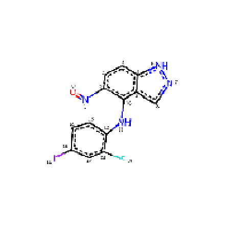 O=Nc1ccc2[nH]ncc2c1Nc1ccc(I)cc1F